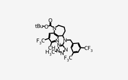 Cc1nc2c(cc1C(F)(F)F)N(C(=O)OC(C)(C)C)CCCC2N(Cc1cc(C(F)(F)F)cc(C(F)(F)F)c1)c1nnn(C)n1